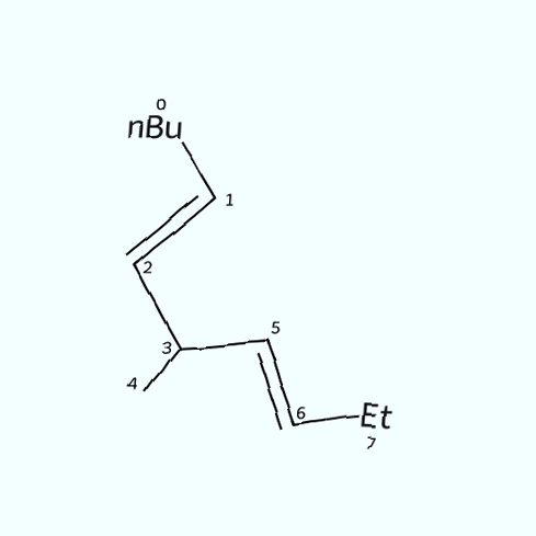 [CH2]CCCC=CC(C)C=CCC